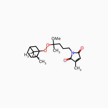 COC(C)(CCCN1C(=O)C=C(C)C1=O)OOC12CC(CCC1C)C2(C)C